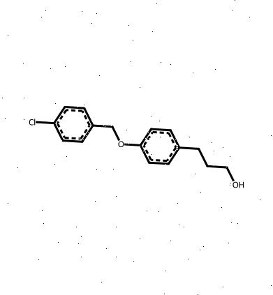 OCCCc1ccc(OCc2ccc(Cl)cc2)cc1